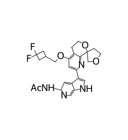 CC(=O)Nc1cc2c(-c3cc(OCC4CC(F)(F)C4)c4c(n3)C3(CCOC3)OCC4)c[nH]c2cn1